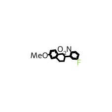 COc1ccc2c(c1)CCC(c1cc(F)ccc1[N+](=O)[O-])C2